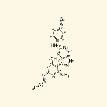 [C-]#[N+]/C=C/c1cc(C)c(-n2nnc3cnc(Nc4ccc(C#N)cc4)nc32)c(C)c1